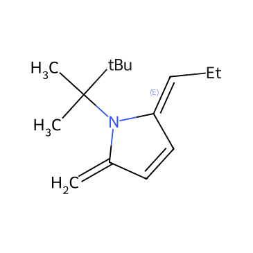 C=c1cc/c(=C\CC)n1C(C)(C)C(C)(C)C